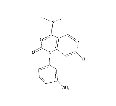 CN(C)c1nc(=O)n(-c2cccc(N)c2)c2cc(Cl)ccc12